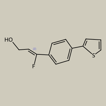 OC/C=C(\F)c1ccc(-c2cccs2)cc1